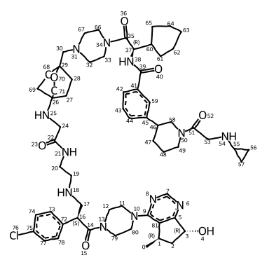 C[C@@H]1C[C@@H](O)c2ncnc(N3CCN(C(=O)[C@H](CNCCNC(=O)CNC45CCC(CN6CCN(C(=O)[C@H](NC(=O)c7cccc(C8CCCN(C(=O)CNC9CC9)C8)c7)C7CCCCC7)CC6)(CC4)OC5)c4ccc(Cl)cc4)CC3)c21